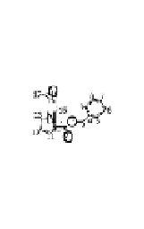 O=C(OCc1ccccc1)c1cccn1C[C@@H]1CO1